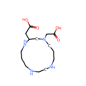 O=C(O)CC1CN(CC(=O)O)CCCNCCNCCCN1